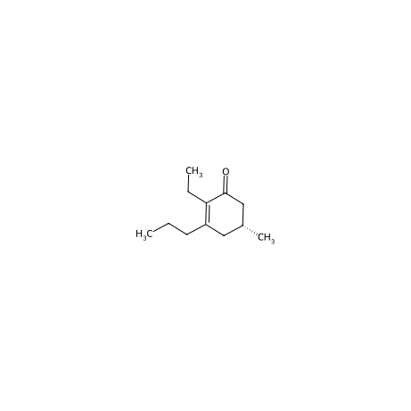 CCCC1=C(CC)C(=O)C[C@H](C)C1